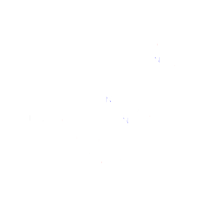 CS(=O)(=O)OCCN(CCOS(C)(=O)=O)c1ccc([N+](=O)[O-])cc1C(=O)NCCO